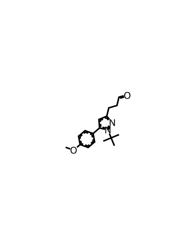 COc1ccc(-c2cc(CCC=O)nn2C(C)(C)C)cc1